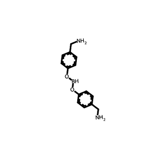 NCc1ccc(OBOc2ccc(CN)cc2)cc1